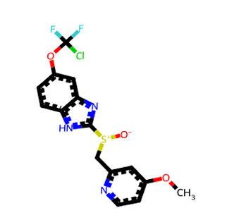 COc1ccnc(C[S+]([O-])c2nc3cc(OC(F)(F)Cl)ccc3[nH]2)c1